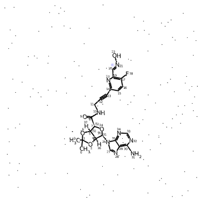 CC1(C)O[C@@H]2[C@H](O1)[C@@H](C(=O)NCC#Cc1ccc(F)c(/C=N/O)n1)O[C@H]2n1cnc2c(N)ncnc21